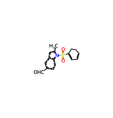 Cc1cc2cc(C=O)ccc2n1S(=O)(=O)C1=CC=CCC1